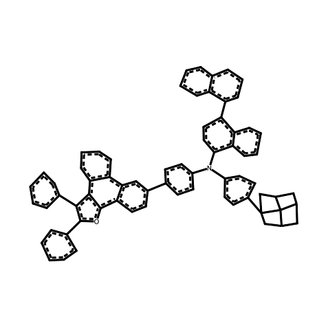 c1ccc(-c2oc3c4ccc(-c5ccc(N(c6ccc(C78CC9CC%10CC(C7)C%1098)cc6)c6ccc(-c7cccc8ccccc78)c7ccccc67)cc5)cc4c4ccccc4c3c2-c2ccccc2)cc1